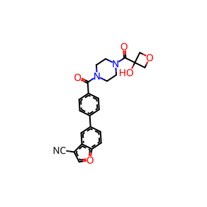 N#Cc1coc2ccc(-c3ccc(C(=O)N4CCN(C(=O)C5(O)COC5)CC4)cc3)cc12